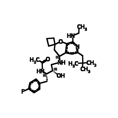 CCNc1nc(CC(C)(C)C)cc2c1OC1(CCC1)C[C@@H]2NC[C@H](O)[C@H](Cc1ccc(F)cc1)NC(C)=O